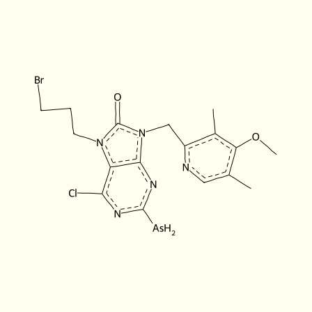 COc1c(C)cnc(Cn2c(=O)n(CCCBr)c3c(Cl)nc([AsH2])nc32)c1C